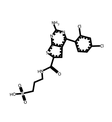 Nc1nc(-c2ccc(Cl)cc2Cl)c2cc(C(=O)NCCCS(=O)(=O)O)sc2n1